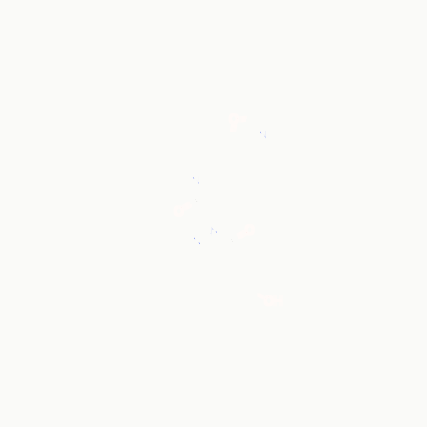 Cc1nc2ccc(N(C)C(=O)Cn3nc(-c4cccc(Cl)c4)c4ccc(O)cc4c3=O)cc2o1